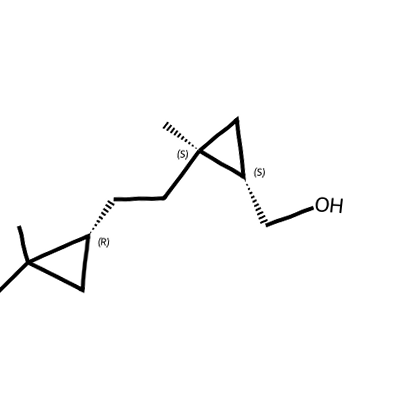 CC1(C)C[C@H]1CC[C@@]1(C)C[C@@H]1CO